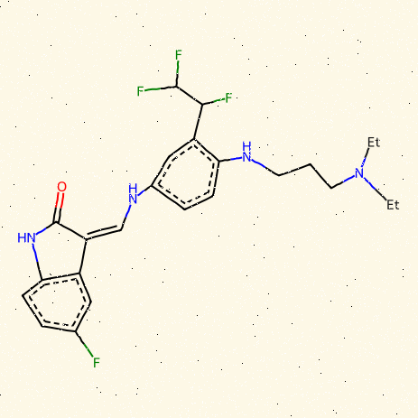 CCN(CC)CCCNc1ccc(NC=C2C(=O)Nc3ccc(F)cc32)cc1C(F)C(F)F